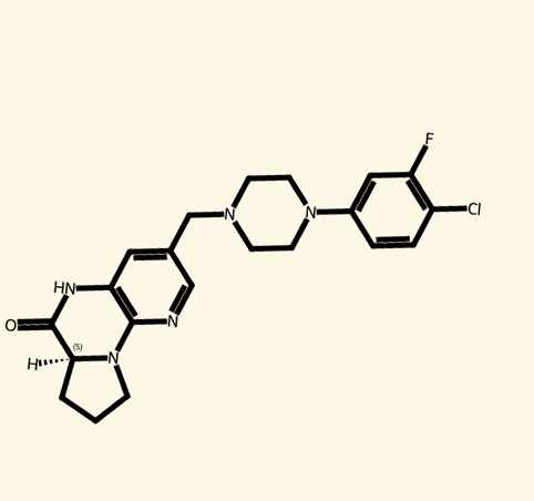 O=C1Nc2cc(CN3CCN(c4ccc(Cl)c(F)c4)CC3)cnc2N2CCC[C@@H]12